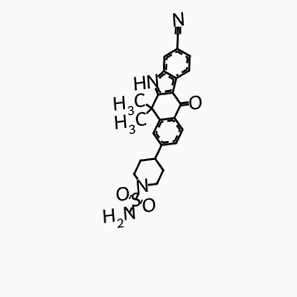 CC1(C)c2cc(C3CCN(S(N)(=O)=O)CC3)ccc2C(=O)c2c1[nH]c1cc(C#N)ccc21